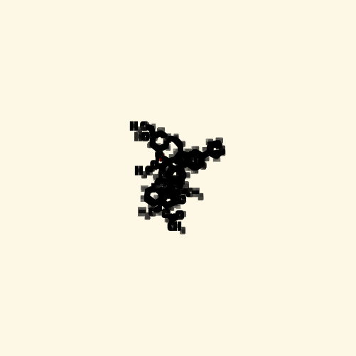 CC[C@]1(O)C[C@H]2CN(CCc3c([nH]c4ccc(-c5ccsc5)cc34)[C@@](C(=O)OC)(c3cc4c(cc3OC)N(C)[C@@]35O[C@]3(C(=O)OC)[C@H](OC(C)=O)[C@]3(CC)C=CCN6CC[C@]45[C@@H]63)C2)C1